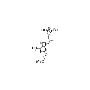 C=C(COCP(=O)(O)OC(C)CC)Cn1cnc2c(N)nc(OCCOC)nc21